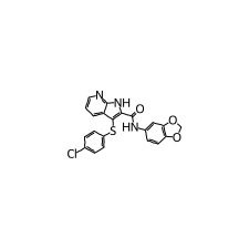 O=C(Nc1ccc2c(c1)OCO2)c1[nH]c2ncccc2c1Sc1ccc(Cl)cc1